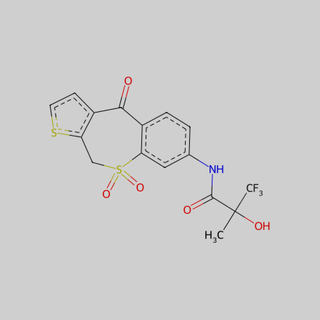 CC(O)(C(=O)Nc1ccc2c(c1)S(=O)(=O)Cc1sccc1C2=O)C(F)(F)F